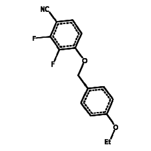 CCOc1ccc(COc2ccc(C#N)c(F)c2F)cc1